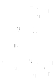 CC(C)N1CCC(O)(c2cncc(CNc3cc(Cl)c4ncc(C#N)c(Nc5ccc(F)c(Cl)c5)c4c3)c2)CC1